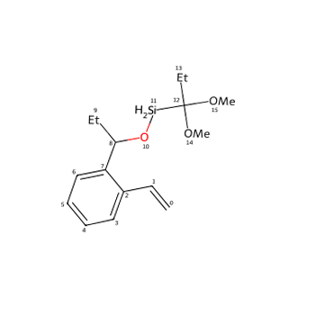 C=Cc1ccccc1C(CC)O[SiH2]C(CC)(OC)OC